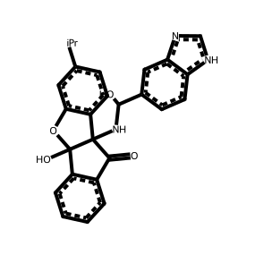 CC(C)c1ccc2c(c1)OC1(O)c3ccccc3C(=O)C21NC(O)c1ccc2[nH]cnc2c1